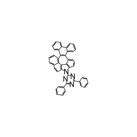 c1ccc(-c2nc(-c3ccccc3)nc(-n3c4cccc5c4c4c6c(cccc6ccc43)-c3c-5c4ccccc4c4ccccc34)n2)cc1